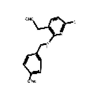 COc1ccc(CNc2nc(Cl)ccc2CC=O)cc1